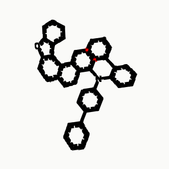 c1ccc(-c2ccc(N(c3ccccc3-c3ccccc3)c3cccc4c3ccc3ccc5oc6ccccc6c5c34)cc2)cc1